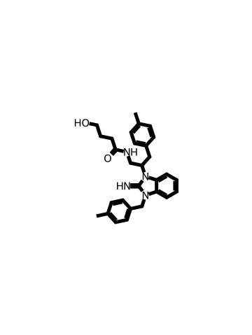 Cc1ccc(CC(CNC(=O)CCCO)n2c(=N)n(Cc3ccc(C)cc3)c3ccccc32)cc1